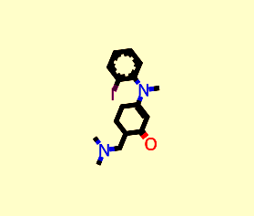 CN(C)CC1CCC(N(C)c2ccccc2I)=CC1=O